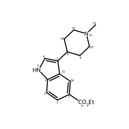 CCOC(=O)c1ccc2[nH]cc(C3CCN(C)CC3)c2c1